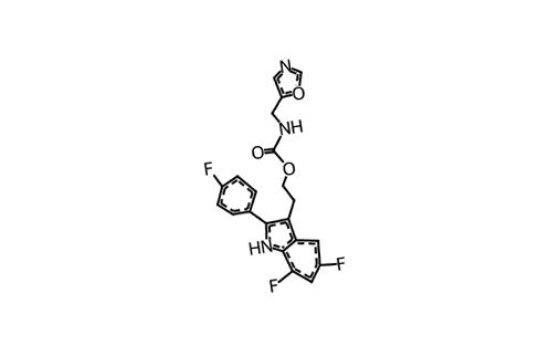 O=C(NCc1cnco1)OCCc1c(-c2ccc(F)cc2)[nH]c2c(F)cc(F)cc12